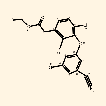 CCOC(=O)Cc1ccc(Cl)c(Oc2cc(Cl)cc(C#N)c2)c1F